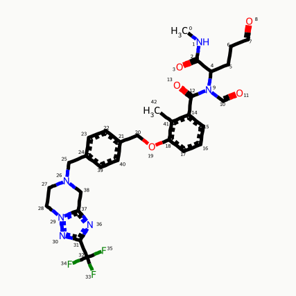 CNC(=O)C(CCC=O)N(C=O)C(=O)c1cccc(OCc2ccc(CN3CCn4nc(C(F)(F)F)nc4C3)cc2)c1C